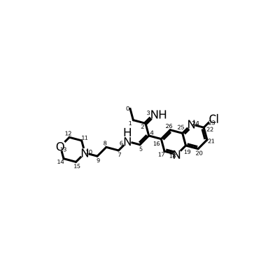 CCC(=N)/C(=C\NCCCN1CCOCC1)c1cnc2ccc(Cl)nc2c1